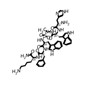 CN(NC(=O)[C@@H](Cc1c[nH]c2ccccc12)NC(=O)[C@@H](N)Cc1c[nH]cn1)S(=O)(=O)N[C@@H](Cc1c[nH]c2ccccc12)C(=O)N[C@H](Cc1ccccc1)C(=O)N[C@@H](CCCCN)C(N)=O